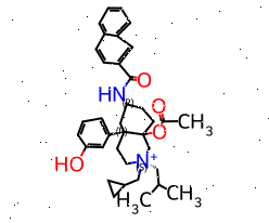 CC(=O)OC12CC[C@@H](NC(=O)c3ccc4ccccc4c3)C[C@@]1(c1cccc(O)c1)CC[N@+](CC(C)C)(CC1CC1)C2